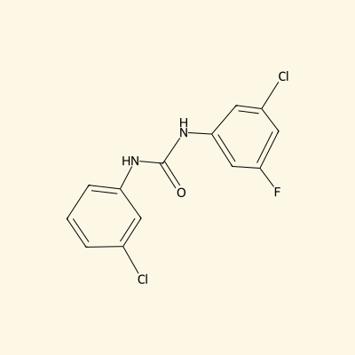 O=C(Nc1cccc(Cl)c1)Nc1cc(F)cc(Cl)c1